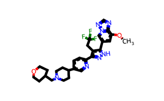 COc1cc(-c2[nH]nc(-c3ccc(C4CCN(CC5CCOCC5)CC4)cn3)c2CC(F)(F)F)cn2ncnc12